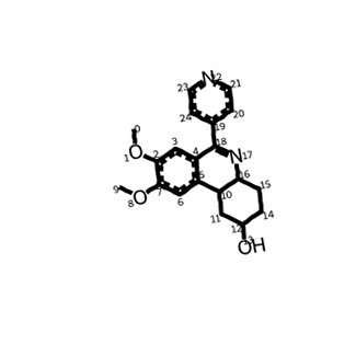 COc1cc2c(cc1OC)C1CC(O)CCC1N=C2c1ccncc1